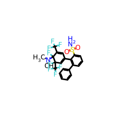 CN(C)C1(F)C(C(F)(F)F)=CC(c2c(-c3ccccc3)cccc2S(N)(=O)=O)=CC1(F)C(F)(F)F